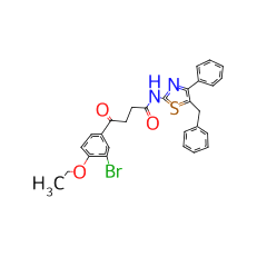 CCOc1ccc(C(=O)CCC(=O)Nc2nc(-c3ccccc3)c(Cc3ccccc3)s2)cc1Br